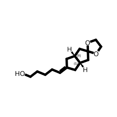 OCCCCC=C1C[C@@H]2CC3(C[C@@H]2C1)OCCO3